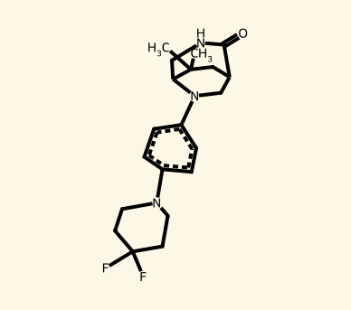 CC1(C)CC2CN(c3ccc(N4CCC(F)(F)CC4)cc3)C1CNC2=O